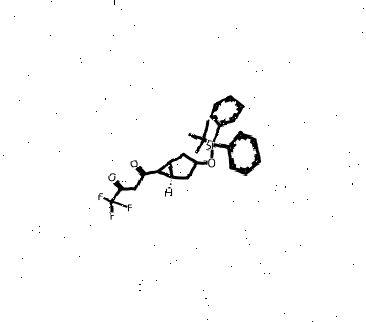 CC(C)(C)[Si](OC1CC2C(C(=O)CC(=O)C(F)(F)F)[C@@H]2C1)(c1ccccc1)c1ccccc1